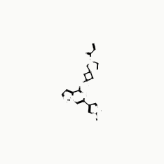 C=CC(=O)N1CC[C@]2(C1)C[C@](C)(Oc1nc(-c3cnn(C)c3)cn3nccc13)C2